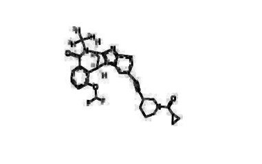 [2H]C([2H])([2H])N1C(=O)c2cccc(OC(F)F)c2[C@H]2C[C@@H]1c1nc3ccc(C#CC4CCCN(C(=O)C5CC5)C4)cc3n12